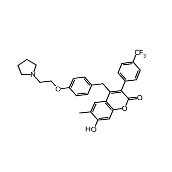 Cc1cc2c(Cc3ccc(OCCN4CCCC4)cc3)c(-c3ccc(C(F)(F)F)cc3)c(=O)oc2cc1O